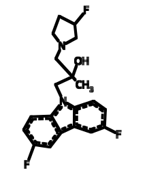 CC(O)(CN1CCC(F)C1)Cn1c2ccc(F)cc2c2cc(F)ccc21